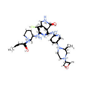 C=CC(=O)N1CCCC(Nc2nc(Nc3ccc(N4CCN(C5COC5)CC4C)cn3)c3c(c2F)CNC3=O)C1